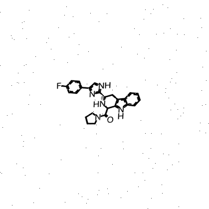 O=C(C1N[C@@H](c2nc(-c3ccc(F)cc3)c[nH]2)Cc2c1[nH]c1ccccc21)N1CCCC1